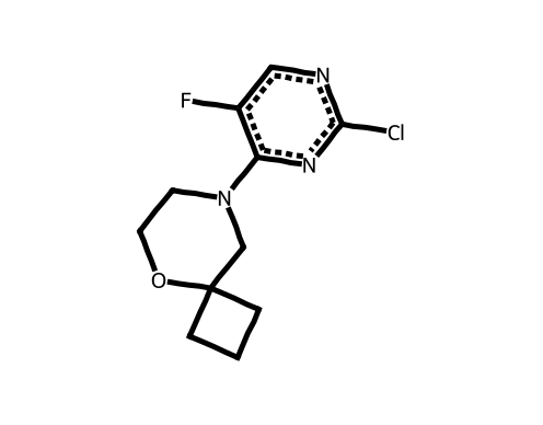 Fc1cnc(Cl)nc1N1CCOC2(CCC2)C1